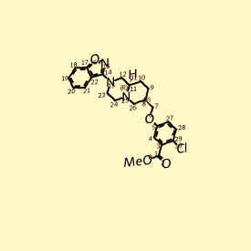 COC(=O)c1cc(OC[C@@H]2CC[C@@H]3CN(c4noc5ccccc45)CCN3C2)ccc1Cl